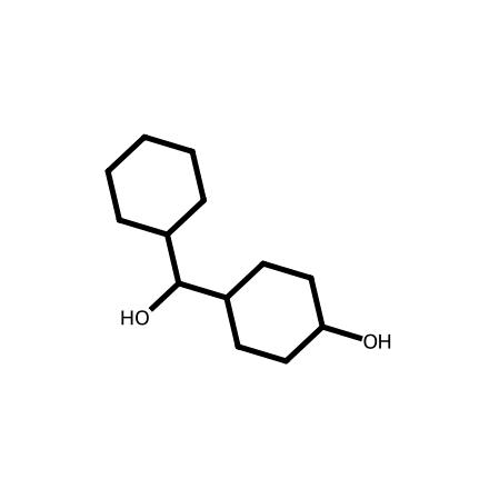 OC1CCC(C(O)C2CCCCC2)CC1